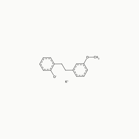 COc1cccc(CCc2ccccc2[O-])c1.[K+]